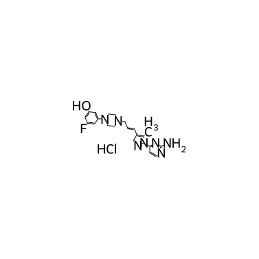 Cc1c(/C=C/CN2CCN(c3cc(O)cc(F)c3)CC2)cnn1-c1ccnc(N)n1.Cl